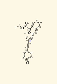 CCOC(=O)N(OC)c1ccccc1CO/N=C(\C)C#Cc1ccc(Cl)cc1